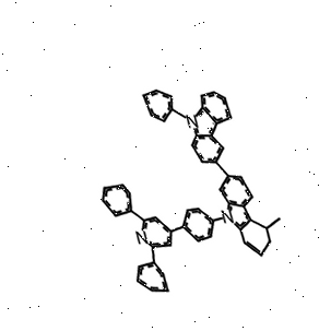 CC1CC=Cc2c1c1ccc(-c3ccc4c(c3)c3ccccc3n4-c3ccccc3)cc1n2-c1ccc(-c2cc(-c3ccccc3)nc(-c3ccccc3)c2)cc1